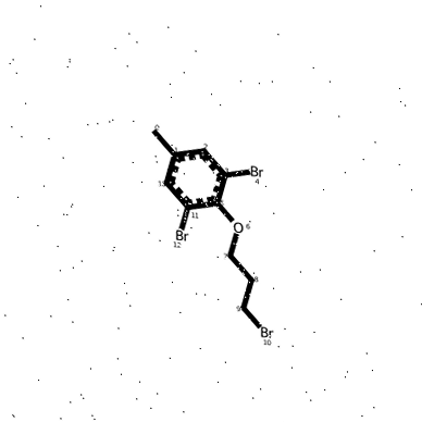 Cc1cc(Br)c(OCCCBr)c(Br)c1